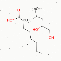 CCCCCCCC(=O)O.CCCCCCCCC(CC(O)CO)C(=O)O